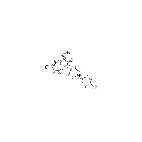 CC(C)C1CCC(N2CCC(N3C(=O)C(=NO)c4cc(Cl)ccc43)CC2)CC1